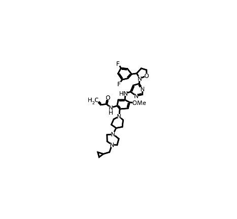 C=CC(=O)Nc1cc(Nc2cc(N3OCCC3c3cc(F)cc(F)c3)ncn2)c(OC)cc1N1CCC(N2CCN(CC3CC3)CC2)CC1